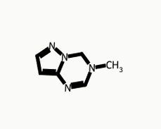 CN1C=Nc2ccnn2C1